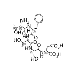 C[C@@H](O)[C@H](N)C(=O)N[C@@H](Cc1ccccc1)C(=O)N[C@H](C(=O)N[C@@H](CO)C(=O)N[C@@H](CC(=O)O)C(=O)O)[C@@H](C)O